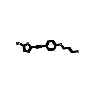 CCC=CCOc1ccc(C#Cc2ccc(C#N)s2)cc1